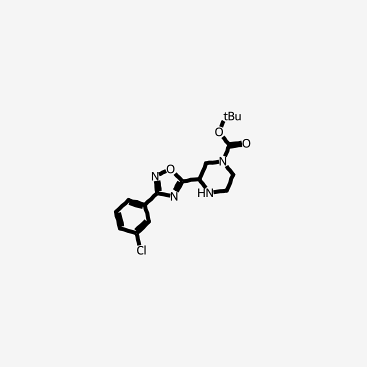 CC(C)(C)OC(=O)N1CCNC(c2nc(-c3cccc(Cl)c3)no2)C1